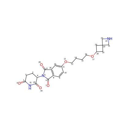 O=C1CCC(N2C(=O)c3ccc(OCCCCOC4CC5(CNC5)C4)cc3C2=O)C(=O)N1